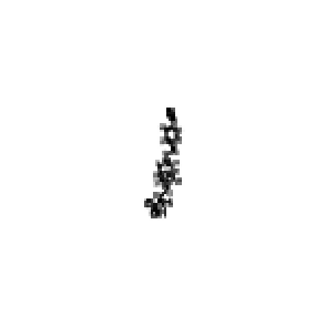 N#Cc1ccc(CCN2CC3CN(CCNC(=O)O)CC(C2)O3)cc1